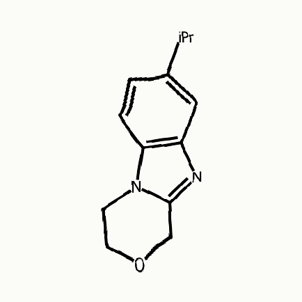 CC(C)c1ccc2c(c1)nc1n2CCOC1